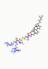 CC(=N)NCCCN(CCCNC(=N)N)C(=O)C(N)CSSCCNC(=O)OC1CCC2(C)C(=CCC3C2CCC2(C)C(CCCCC(C)C)CCC32)C1